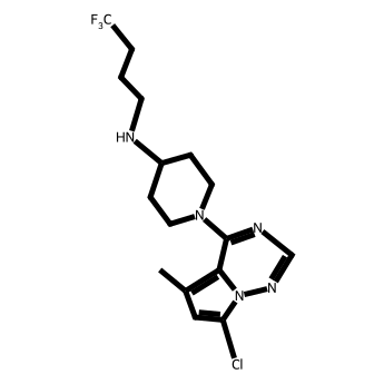 Cc1cc(Cl)n2ncnc(N3CCC(NCCCC(F)(F)F)CC3)c12